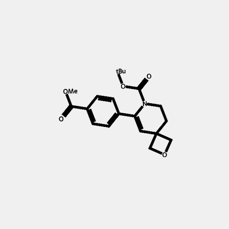 COC(=O)c1ccc(C2=CC3(CCN2C(=O)OC(C)(C)C)COC3)cc1